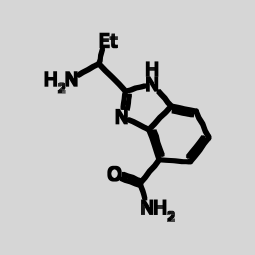 CCC(N)c1nc2c(C(N)=O)cccc2[nH]1